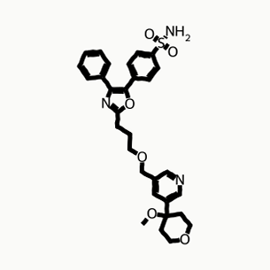 COC1(c2cncc(COCCCc3nc(-c4ccccc4)c(-c4ccc(S(N)(=O)=O)cc4)o3)c2)CCOCC1